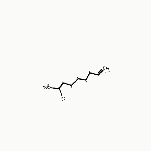 C=CCCCCCC(C#N)CC